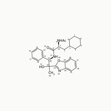 CC(=O)N[C@@H](CC1CCCCC1)C(=O)N[C@H](c1ccccc1)C(C)(O)c1nc2ccccc2o1